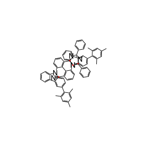 Cc1cc(C)c(-c2ccc3c(c2)c2ccccc2n3-c2cccc(C#N)c2-c2c(-c3nc(-c4ccccc4)nc(-c4ccccc4)n3)cccc2-n2c3ccccc3c3cc(-c4c(C)cc(C)cc4C)ccc32)c(C)c1